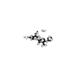 CO/N=C(\C(=O)NC1C(=O)N2C(C(=O)[O-])=C(SC3COCOC3)CS[C@@H]12)c1csc(N)n1.[Na+]